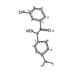 CN(C)c1ccc(C(O)C(=O)c2cccc(Cl)c2)cc1